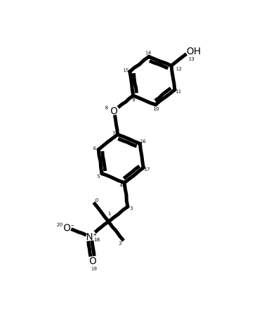 CC(C)(Cc1ccc(Oc2ccc(O)cc2)cc1)[N+](=O)[O-]